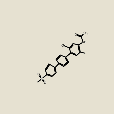 CS(=O)(=O)c1ccc(C2=C=C=C(c3cc(I)c(NC(=O)C(F)(F)F)cc3Cl)C=C2)cc1